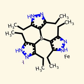 CCc1n[nH]c(CC)c1B(c1c(CC)n[nH]c1CC)c1c(CC)n[nH]c1CC.[Fe].[I]